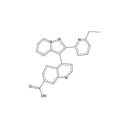 CCc1cccc(-c2nn3ccccc3c2-c2ccnc3cc(C(=O)O)ccc23)n1